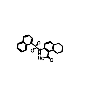 O=C(O)c1c(NS(=O)(=O)c2cccc3ccccc23)ccc2c1CCCC2